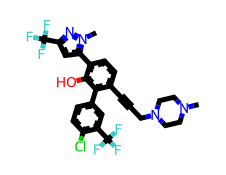 CN1CCN(CC#Cc2ccc(-c3cc(C(F)(F)F)nn3C)c(O)c2-c2ccc(Cl)c(C(F)(F)F)c2)CC1